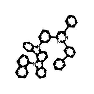 c1ccc(-c2cccc(-c3nc(-c4ccccc4)cc(-c4cccc(-n5c6ccccc6c6c5ccc5c7ccccc7n(-c7cccc8ccccc78)c56)c4)n3)c2)cc1